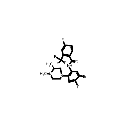 C[C@H]1CN(c2cc(F)c(Br)cc2NC(=O)c2ccc(F)cc2C(F)(F)F)CCN1C